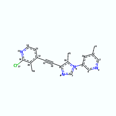 Cc1cncc(-n2cnc(C#Cc3ccnc(Cl)c3C)c2C)c1